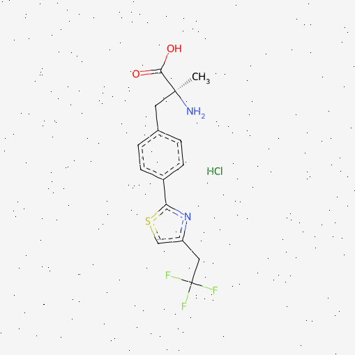 C[C@](N)(Cc1ccc(-c2nc(CC(F)(F)F)cs2)cc1)C(=O)O.Cl